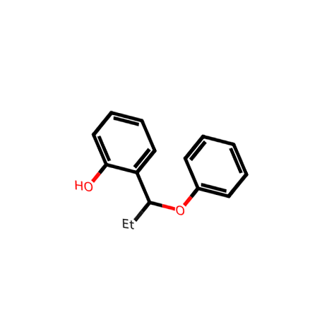 CCC(Oc1ccccc1)c1ccccc1O